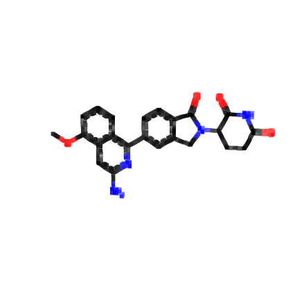 COc1cccc2c(-c3ccc4c(c3)CN(C3CCC(=O)NC3=O)C4=O)nc(N)cc12